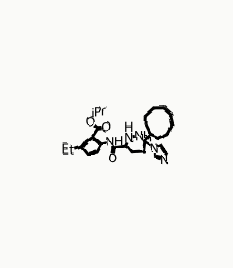 CCc1ccc(NC(=O)C2CCC(C3CCCCCCCC3)(n3ccnc3)NN2)c(C(=O)OC(C)C)c1